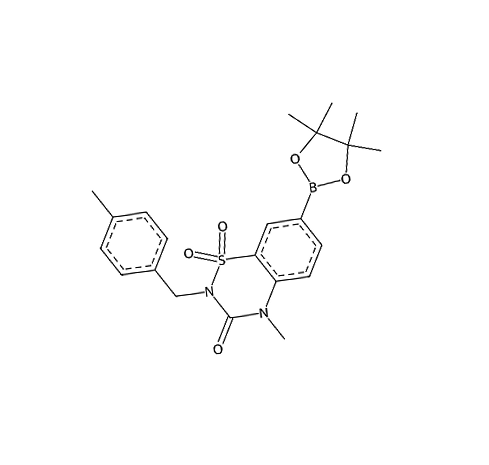 Cc1ccc(CN2C(=O)N(C)c3ccc(B4OC(C)(C)C(C)(C)O4)cc3S2(=O)=O)cc1